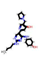 CCCCNc1ncc(-c2cc(O)c(CN3CCCC3)cn2)c(N[C@H]2CC[C@H](O)CC2)n1